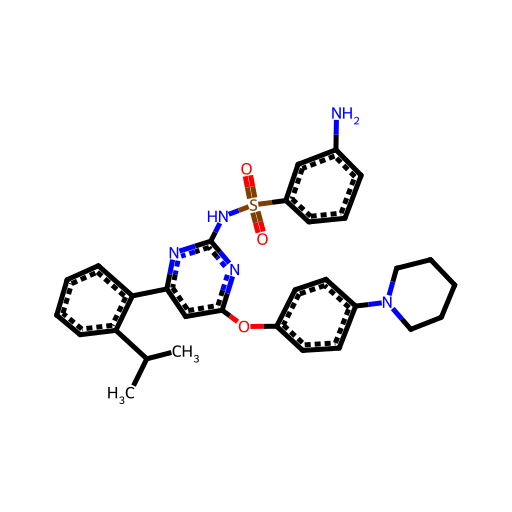 CC(C)c1ccccc1-c1cc(Oc2ccc(N3CCCCC3)cc2)nc(NS(=O)(=O)c2cccc(N)c2)n1